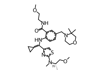 COCCNC(=O)c1cc(CN2CCOCC2(C)C)ccc1NC(=C1CC1)c1csc(N(C)[C@@H](C)COC)n1